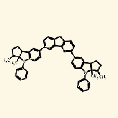 CC1CCC2c3cc(-c4ccc5c(c4)-c4cc(-c6ccc7c(c6)C6CCC(C)C6(C)N7c6ccccc6)ccc4C5)ccc3N(c3ccccc3)C12C